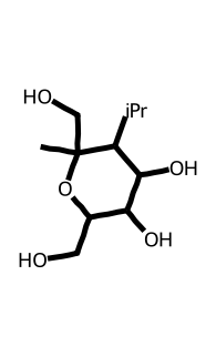 CC(C)C1C(O)C(O)C(CO)OC1(C)CO